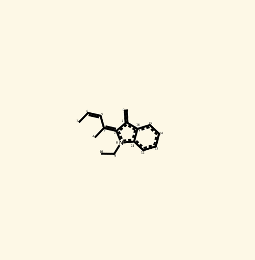 C=c1/c(=C(C)\C=C/C)n(CC)c2ccccc12